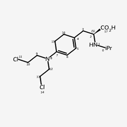 CC(C)N[C@@H](CC1=CC=C(N(CCCl)CCCl)CC1)C(=O)O